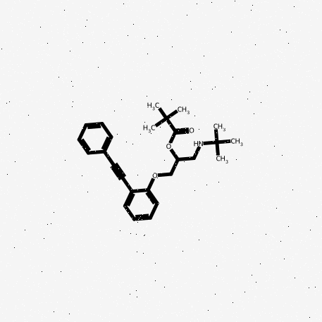 CC(C)(C)NCC(COc1ccccc1C#Cc1ccccc1)OC(=O)C(C)(C)C